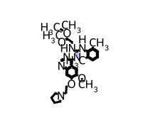 COc1cc2c(/N=C(\NCC(=O)OC(C)(C)C)Nc3c(C)cccc3C)ncnc2cc1OCCN1CCCC1